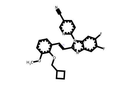 COc1cccc(/C=C/c2nc3cc(F)c(F)cc3n2-c2ccc(C#N)cn2)c1OCC1CCC1